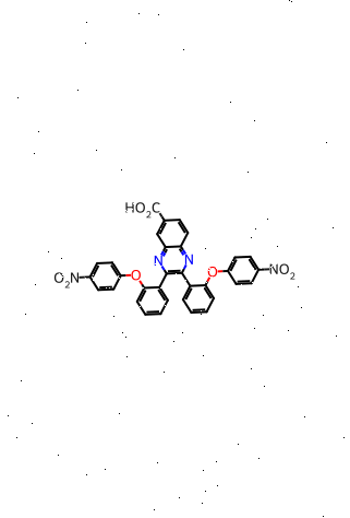 O=C(O)c1ccc2nc(-c3ccccc3Oc3ccc([N+](=O)[O-])cc3)c(-c3ccccc3Oc3ccc([N+](=O)[O-])cc3)nc2c1